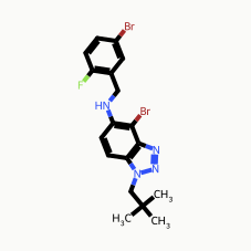 CC(C)(C)Cn1nnc2c(Br)c(NCc3cc(Br)ccc3F)ccc21